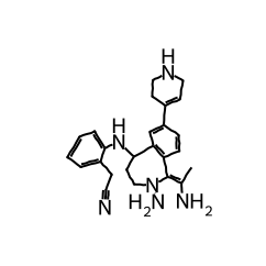 C/C(N)=C1\c2ccc(C3=CCNCC3)cc2C(Nc2ccccc2CC#N)CCN1N